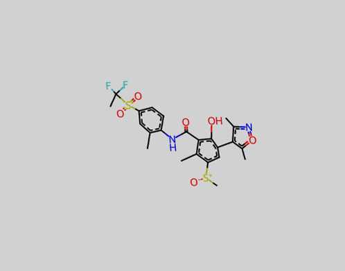 Cc1cc(S(=O)(=O)C(C)(F)F)ccc1NC(=O)c1c(C)c([S+](C)[O-])cc(-c2c(C)noc2C)c1O